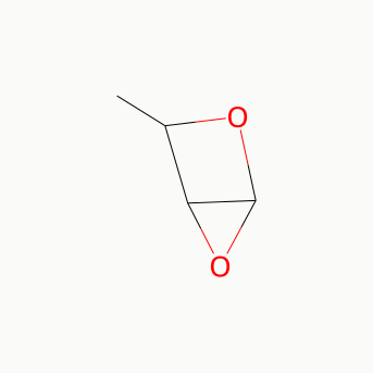 CC1OC2OC12